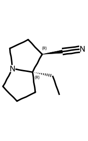 CC[C@]12CCCN1CC[C@H]2C#N